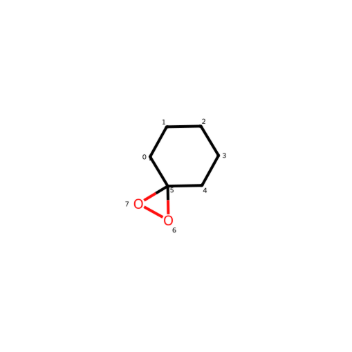 [CH]1CCCCC12OO2